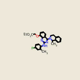 CCOC(=O)COc1cccc2c(N3CCc4ccccc4C3C)nc(Nc3ccc(F)cc3C)nc12